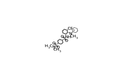 CN(c1c(NS(=O)(=O)c2ccc(S(=O)(=O)N(C)C)cc2)cccc1C(F)(F)F)C1CCCCC1